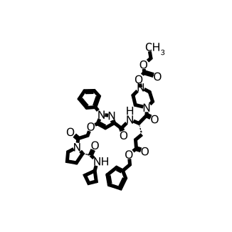 CCOC(=O)ON1CCN(C(=O)[C@H](CCC(=O)OCc2ccccc2)NC(=O)c2cc(OCC(=O)N3CCC[C@H]3C(=O)NC3CCC3)n(-c3ccccc3)n2)CC1